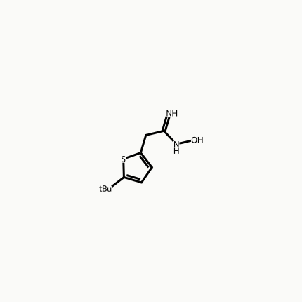 CC(C)(C)c1ccc(CC(=N)NO)s1